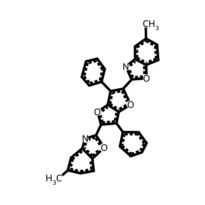 Cc1ccc2oc(-c3oc4c(-c5ccccc5)c(-c5nc6cc(C)ccc6o5)oc4c3-c3ccccc3)nc2c1